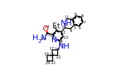 CCc1c(C2Cc3ccccc3CN2)cc(NC2CC3(CCC3)C2)nc1C(N)=O